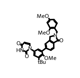 COc1ccc(CN2Cc3cc(-c4cc(-n5ccc(=O)[nH]c5=O)cc(C(C)(C)C)c4OC)ccc3C2=O)c(OC)c1